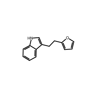 c1coc(CCc2c[nH]c3ccccc23)c1